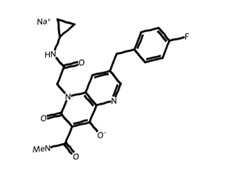 CNC(=O)c1c([O-])c2ncc(Cc3ccc(F)cc3)cc2n(CC(=O)NC2CC2)c1=O.[Na+]